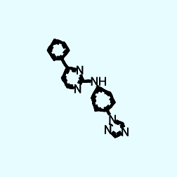 c1ccc(-c2ccnc(Nc3ccc(-n4cncn4)cc3)n2)cc1